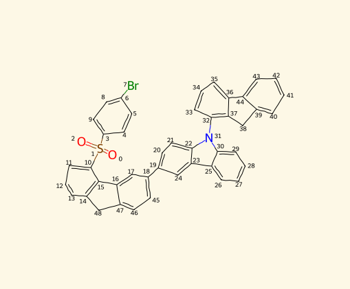 O=S(=O)(c1ccc(Br)cc1)c1cccc2c1-c1cc(-c3ccc4c(c3)c3ccccc3n4-c3cccc4c3Cc3ccccc3-4)ccc1C2